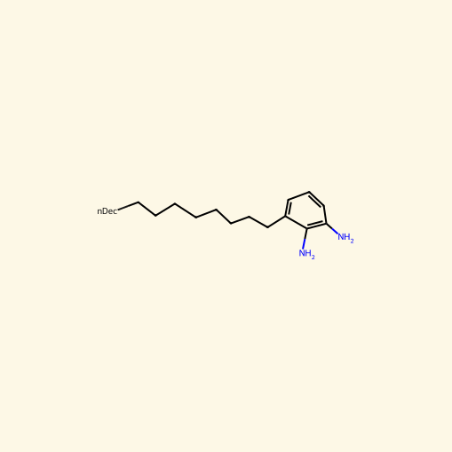 CCCCCCCCCCCCCCCCCCc1cccc(N)c1N